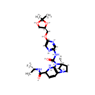 C[C@@H](NC(=O)C1C=CC2=C(N1)N(C(=O)Nc1cnc(OC[C@H]3COC(C)(C)O3)cn1)[C@H]1CCN2C1)C(F)(F)F